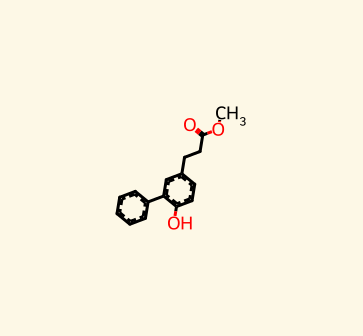 COC(=O)CCc1ccc(O)c(-c2ccccc2)c1